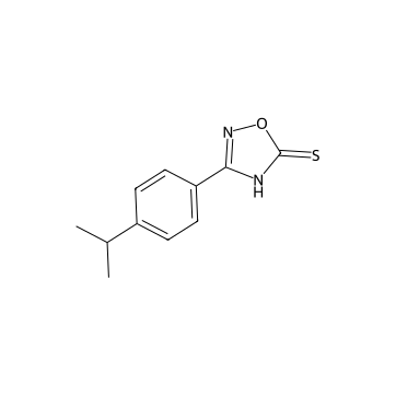 CC(C)c1ccc(-c2noc(=S)[nH]2)cc1